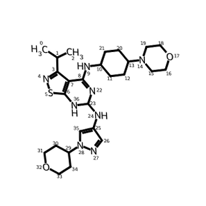 CC(C)c1nsc2c1C(NC1CCC(N3CCOCC3)CC1)=NC(Nc1cnn(C3CCOCC3)c1)N2